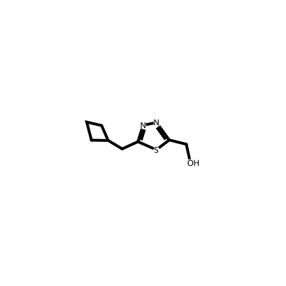 OCc1nnc(CC2CCC2)s1